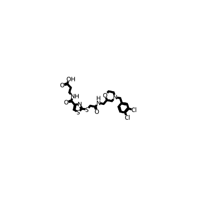 O=C(O)CCNC(=O)c1csc(SCC(=O)NCC2CN(Cc3ccc(Cl)c(Cl)c3)CCO2)n1